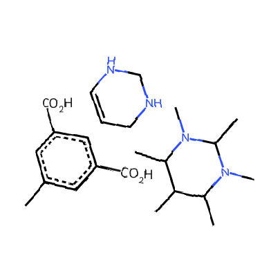 C1=CNCNC1.CC1C(C)N(C)C(C)N(C)C1C.Cc1cc(C(=O)O)cc(C(=O)O)c1